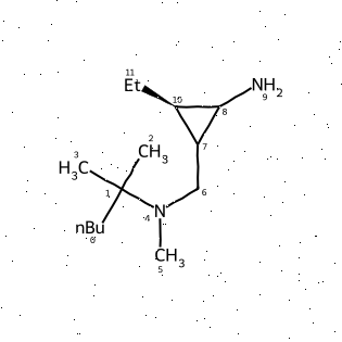 CCCCC(C)(C)N(C)CC1C(N)[C@@H]1CC